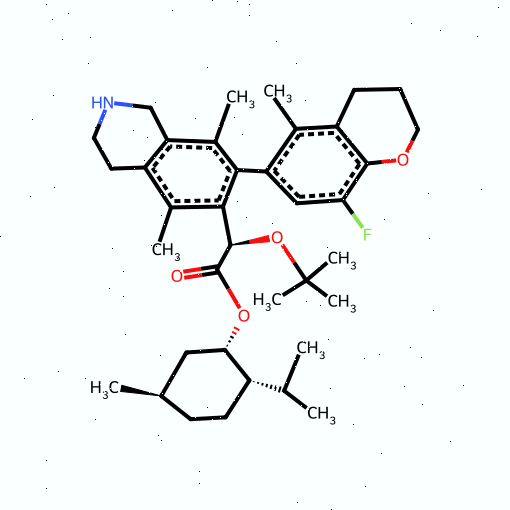 Cc1c(-c2c(C)c3c(c(C)c2[C@@H](OC(C)(C)C)C(=O)O[C@H]2C[C@H](C)CC[C@H]2C(C)C)CCNC3)cc(F)c2c1CCCO2